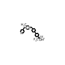 CC1CN(Cc2ccc(-c3ccc(C(O)(C(F)(F)F)C(F)(F)F)cc3)cc2)CCN1Cc1ccncc1